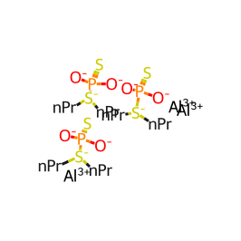 CCC[S-](CCC)P([O-])([O-])=S.CCC[S-](CCC)P([O-])([O-])=S.CCC[S-](CCC)P([O-])([O-])=S.[Al+3].[Al+3].[Al+3]